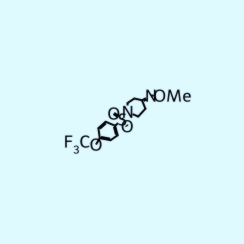 [CH2]ON=C1CCN(S(=O)(=O)c2ccc(OC(F)(F)F)cc2)CC1